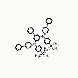 CC(C)(C)c1ccc(N(c2cc(-c3ccccc3)cc(N(c3ccc(C(C)(C)C)cc3)[C@H]3C=CC(c4ccccc4)=CC3)c2)[C@H]2C=CC(c3ccccc3)=CC2)cc1